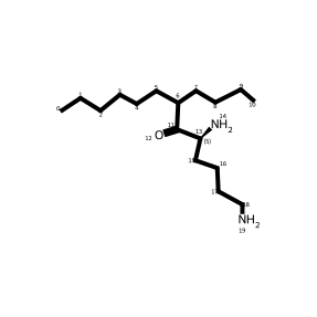 CCCCCCC(CCCC)C(=O)[C@@H](N)CCCCN